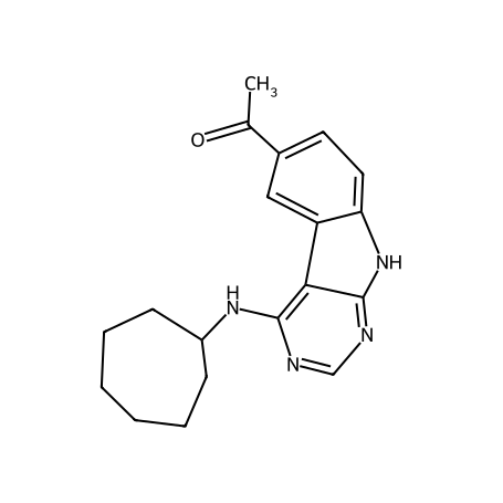 CC(=O)c1ccc2[nH]c3ncnc(NC4CCCCCC4)c3c2c1